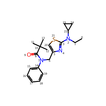 CCN(c1nc(CN(C(=O)C(C)(C)C)c2ccccc2)cs1)C1CC1